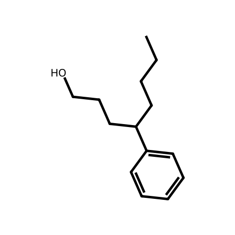 CCCCC(CCCO)c1ccccc1